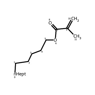 [CH2]CCCCCCCCCCCOC(=O)C(=C)C